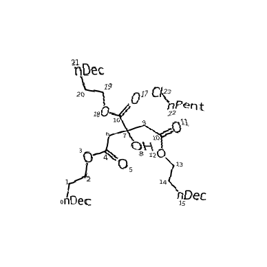 CCCCCCCCCCCCOC(=O)CC(O)(CC(=O)OCCCCCCCCCCCC)C(=O)OCCCCCCCCCCCC.CCCCCCl